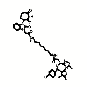 Cc1sc2c(c1C)C(c1ccc(Cl)cc1)=N[C@@H](CC(=O)NCCCCCCCCNC(=O)Cn1c(=O)n(C3CCCC(=O)NC3=O)c3ccccc31)c1nnc(C)n1-2